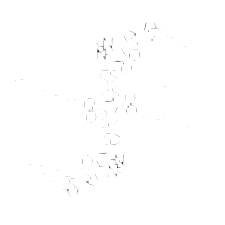 CCCCCCCCCCCCOC(=O)c1c2cc(-c3ccc(-c4c(OCCCCCCCC)c(OCCCCCCCC)c(-c5ccc(-c6ccc(CCCCCCCC)s6)s5)c5nsnc45)s3)sc2c(C(=O)OCCCCCCCCCCCC)c2cc(-c3ccc(-c4c(C)c(OCCCCCCCC)c(-c5ccc(-c6ccc(CCCCCCCC)s6)s5)c5nsnc45)s3)sc12